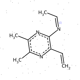 C=Cc1nc(C)c(C)nc1/N=C\C